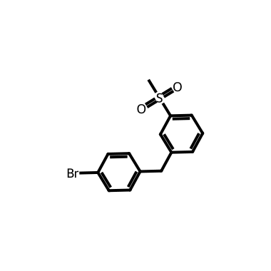 CS(=O)(=O)c1cccc(Cc2ccc(Br)cc2)c1